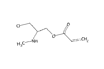 C=CC(=O)OCC(CCl)NC